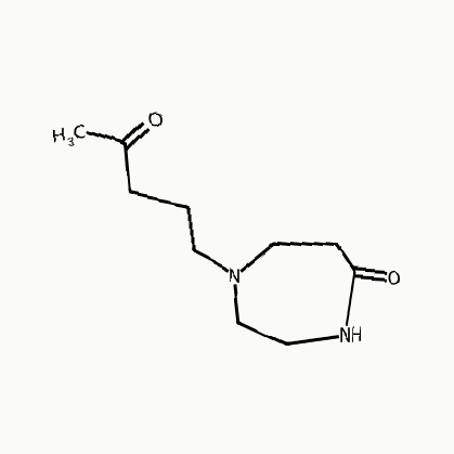 CC(=O)CCCN1CCNC(=O)CC1